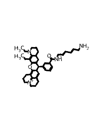 CCC1=C2C(CCCN2CC)CC2=C1OC1=C3CCC[N+]4=C3C(=CC1C2c1cccc(C(=O)NCCCCCCN)c1)CCC4